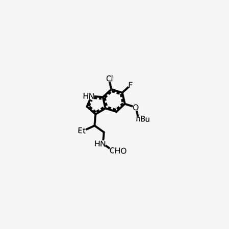 CCCCOc1cc2c(C(CC)CNC=O)c[nH]c2c(Cl)c1F